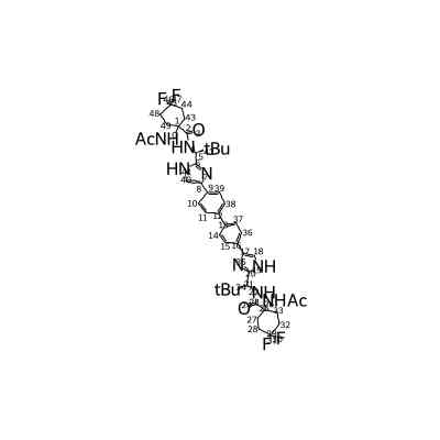 CC(=O)NC1(C(=O)N[C@H](c2nc(-c3ccc(-c4ccc(-c5c[nH]c([C@@H](NC(=O)C6(NC(C)=O)CCC(F)(F)CC6)C(C)(C)C)n5)cc4)cc3)c[nH]2)C(C)(C)C)CCC(F)(F)CC1